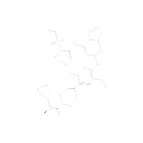 COc1cc(C2CCN(C(=O)[C@@H](C)N3CCCC3)CC2)c(C)cc1Nc1nc(Nc2ccccc2S(=O)(=O)C(C)C)n2nccc2n1